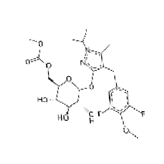 COC(=O)OC[C@H]1OC(Oc2nn(C(C)C)c(C)c2Cc2cc(F)c(OC)c(F)c2)[C@H](O)[C@@H](O)[C@@H]1O